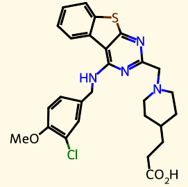 COc1ccc(CNc2nc(CN3CCC(CCC(=O)O)CC3)nc3sc4ccccc4c23)cc1Cl